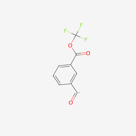 O=[C]c1cccc(C(=O)OC(F)(F)F)c1